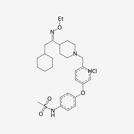 CCO/N=C(/CC1CCCCC1)C1CCN(Cc2ccc(Oc3ccc(NS(C)(=O)=O)cc3)cc2)CC1.Cl